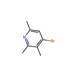 Cc1cc(Br)c(C)c(C)n1